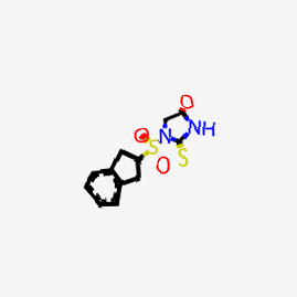 O=C1CN(S(=O)(=O)C2Cc3ccccc3C2)C(=S)N1